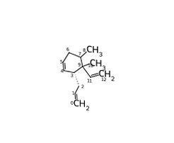 C=CC[C@@H]1C=CCC(C)C1(C)C=C